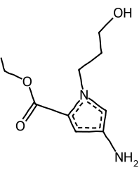 CCOC(=O)c1cc(N)cn1CCCO